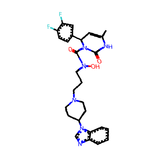 CC1=CC(c2ccc(F)c(F)c2)N(C(=O)N(O)CCCN2CCC(n3cnc4ccccc43)CC2)C(=O)N1